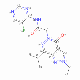 CCn1cc2c(=O)n(CC(=O)Nc3ncncc3F)nc(C(C)C)c2n1